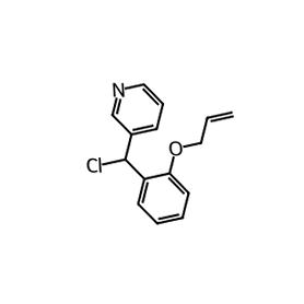 C=CCOc1ccccc1C(Cl)c1cccnc1